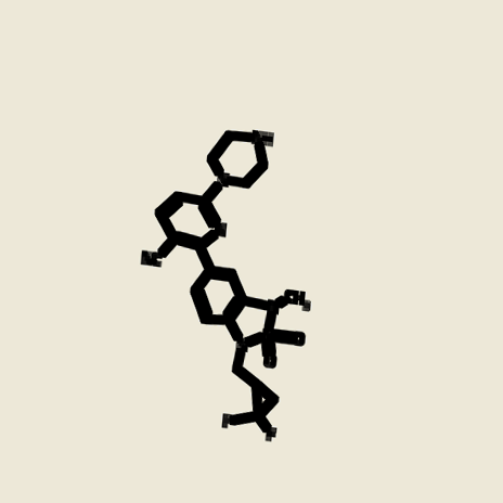 CN1c2cc(-c3nc(N4CCNCC4)ccc3C#N)ccc2N(CC2CC2(F)F)S1(=O)=O